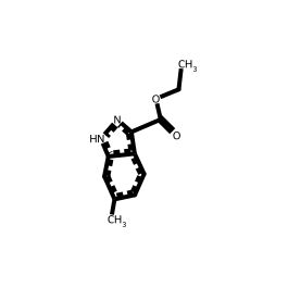 CCOC(=O)c1n[nH]c2cc(C)ccc12